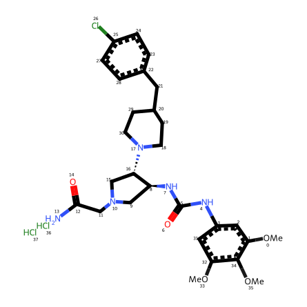 COc1cc(NC(=O)N[C@H]2CN(CC(N)=O)C[C@@H]2N2CCC(Cc3ccc(Cl)cc3)CC2)cc(OC)c1OC.Cl.Cl